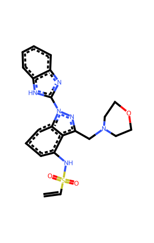 C=CS(=O)(=O)Nc1cccc2c1c(CN1CCOCC1)nn2-c1nc2ccccc2[nH]1